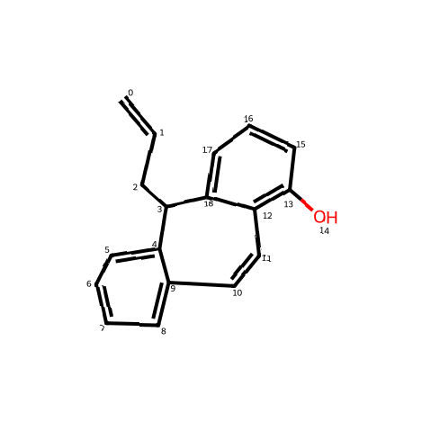 C=CCC1c2ccccc2C=Cc2c(O)cccc21